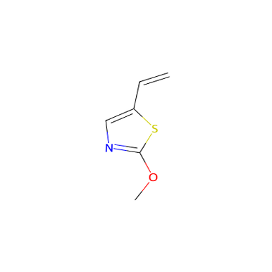 C=Cc1cnc(OC)s1